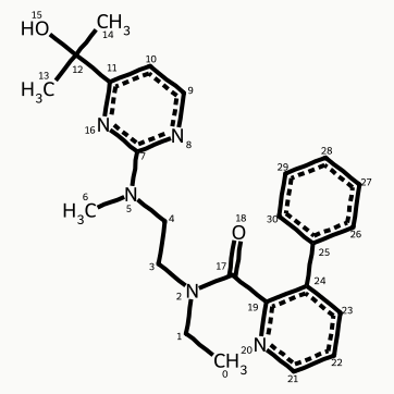 CCN(CCN(C)c1nccc(C(C)(C)O)n1)C(=O)c1ncccc1-c1ccccc1